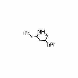 CCCC(C)CC(N)CC(C)C